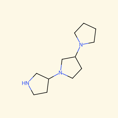 C1CCN(C2CCN(C3CCNC3)C2)C1